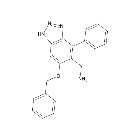 NCc1c(OCc2ccccc2)cc2[nH]nnc2c1-c1ccccc1